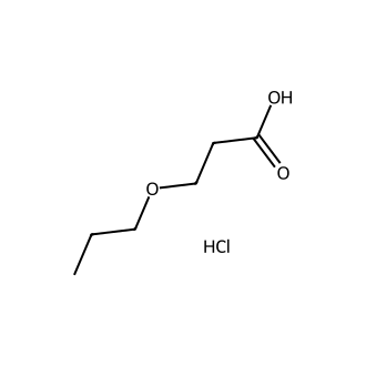 CCCOCCC(=O)O.Cl